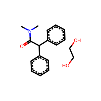 CN(C)C(=O)C(c1ccccc1)c1ccccc1.OCCO